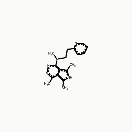 Cc1nnc(N(C)CCc2ccccn2)c2c(C)[nH]c(C)c12